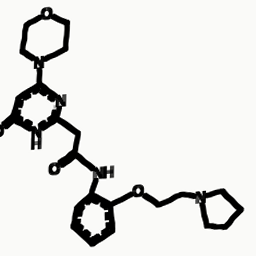 O=C(Cc1nc(N2CCOCC2)cc(=O)[nH]1)Nc1ccccc1OCCN1CCCC1